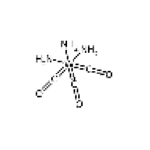 [NH2][W]([NH2])([NH2])(=[C]=O)(=[C]=O)=[C]=O